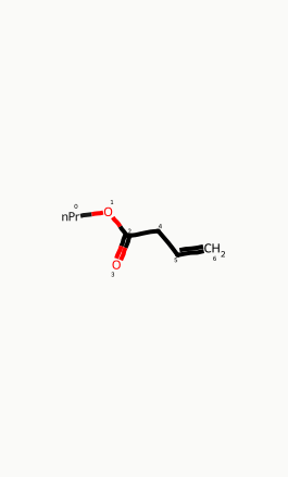 [CH2]CCOC(=O)CC=C